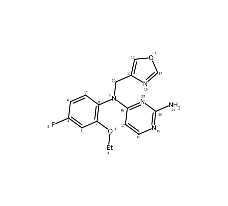 CCOc1cc(F)ccc1N(Cc1cocn1)c1ccnc(N)n1